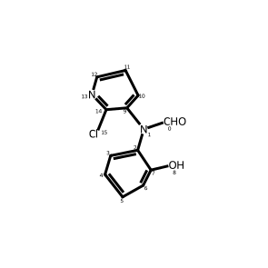 O=CN(c1ccccc1O)c1cccnc1Cl